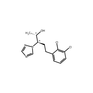 C[C@H](O)[C@@H](CCc1cccc(Cl)c1Cl)n1cncn1